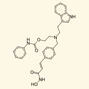 O=C(/C=C/c1ccc(CN(CCOC(=O)Nc2ccccc2)CCc2c[nH]c3ccccc23)cc1)NO